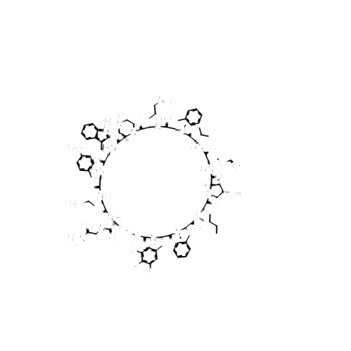 CCCC[C@H]1C(=O)N2C[C@H](O)C[C@@H]2C(=O)N[C@@H](COC=O)C(=O)N[C@@H](C(C)C)C(=O)N(C)[C@@H](Cc2ccccc2)C(=O)N[C@@H](CCCN)C(=O)N2CCNC[C@@H]2C(=O)N[C@@H](Cc2c[nH]c3ccccc23)C(=O)N[C@@H](Cc2ccc(O)cc2)C(=O)N[C@@H](CCO)C(=O)N[C@H](C(=O)NCC(N)=O)CSCC(=O)N[C@@H](Cc2cc(F)c(F)c(F)c2)C(=O)N(C)[C@@H](Cc2ccccc2)C(=O)N1C